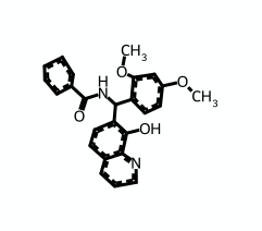 COc1ccc(C(NC(=O)c2ccccc2)c2ccc3cccnc3c2O)c(OC)c1